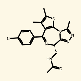 CC(=O)NC[C@@H]1N=C(c2ccc(Cl)cc2)c2c(sc(C)c2C)-n2c(C)nnc21